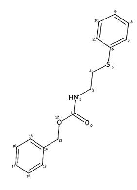 O=C(N[CH]CSc1ccccc1)OCc1ccccc1